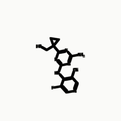 N#Cc1cncc(F)c1Nc1nc(N)nc(C2(CO)CC2)n1